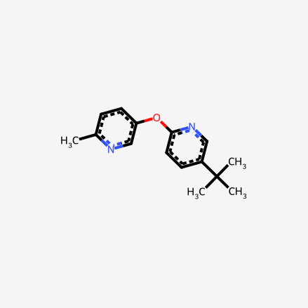 Cc1ccc(Oc2ccc(C(C)(C)C)cn2)cn1